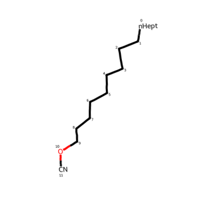 CCCCCCCCCCCCCCCCOC#N